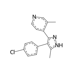 Cc1cnccc1-c1n[nH]c(C)c1-c1ccc(Cl)cc1